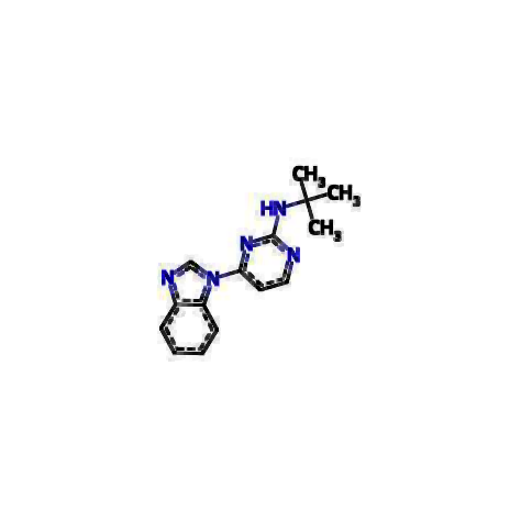 CC(C)(C)Nc1nccc(-n2cnc3ccccc32)n1